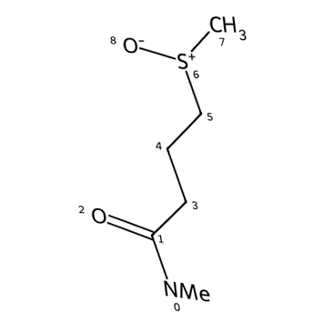 CNC(=O)CCC[S+](C)[O-]